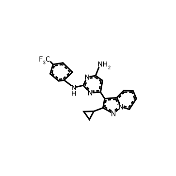 Nc1cc(-c2c(C3CC3)nn3ccccc23)nc(Nc2ccc(C(F)(F)F)cc2)n1